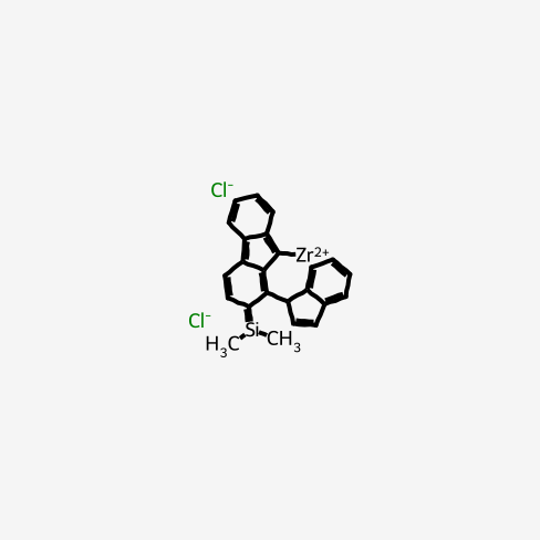 C[Si](C)=c1ccc2c(c1C1C=Cc3ccccc31)[C]([Zr+2])=c1ccccc1=2.[Cl-].[Cl-]